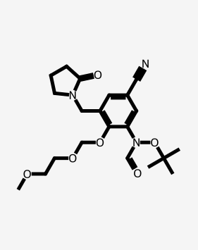 COCCOCOc1c(CN2CCCC2=O)cc(C#N)cc1N(C=O)OC(C)(C)C